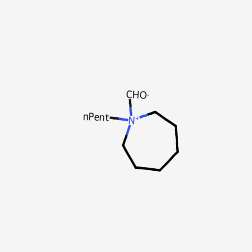 CCCCC[N+]1([C]=O)CCCCCC1